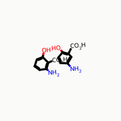 Nc1ccc(O)c(C(=O)O)c1.Nc1cccc(O)c1C(=O)O